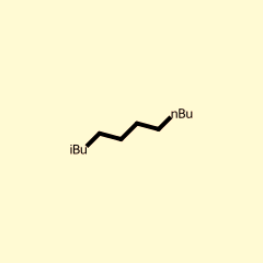 [CH2]CCCCCCCC(C)CC